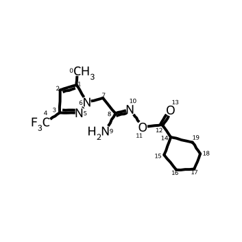 Cc1cc(C(F)(F)F)nn1C/C(N)=N/OC(=O)C1CCCCC1